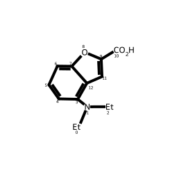 CCN(CC)c1cccc2oc(C(=O)O)cc12